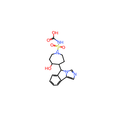 O=C(O)NS(=O)(=O)N1CCC(O)C(C2c3ccccc3-c3cncn32)CC1